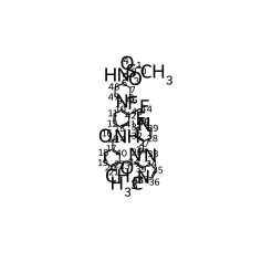 CCS(=O)(=O)NC1CCN(c2ccc(NC(=O)c3ccc(C)c(Oc4nc(-c5ccncc5)nc5ccn(C)c45)c3)cc2C(F)(F)F)CC1